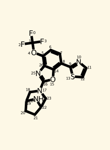 FC(F)(F)Oc1ccc(-c2nccs2)c2oc(N3CC4CCC(C3)N4)nc12